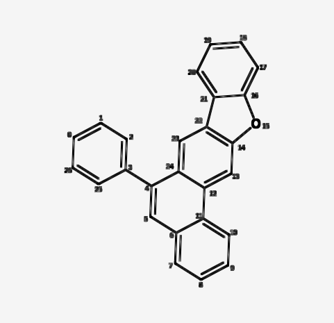 c1ccc(-c2cc3ccccc3c3cc4oc5ccccc5c4cc23)cc1